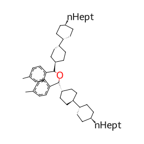 CCCCCCC[C@H]1CC[C@H]([C@H]2CC[C@H](C(OC(c3ccc(C)cc3)[C@H]3CC[C@H]([C@H]4CC[C@H](CCCCCCC)CC4)CC3)c3ccc(C)cc3)CC2)CC1